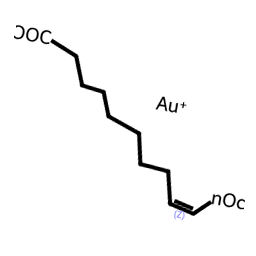 CCCCCCCC/C=C\CCCCCCCC(=O)[O-].[Au+]